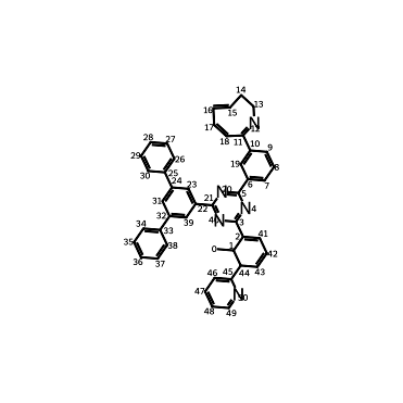 CC1C(c2nc(-c3cccc(C4=N/CC/C=C/C=C\4)c3)nc(-c3cc(-c4ccccc4)cc(-c4ccccc4)c3)n2)=CC=CC1c1ccccn1